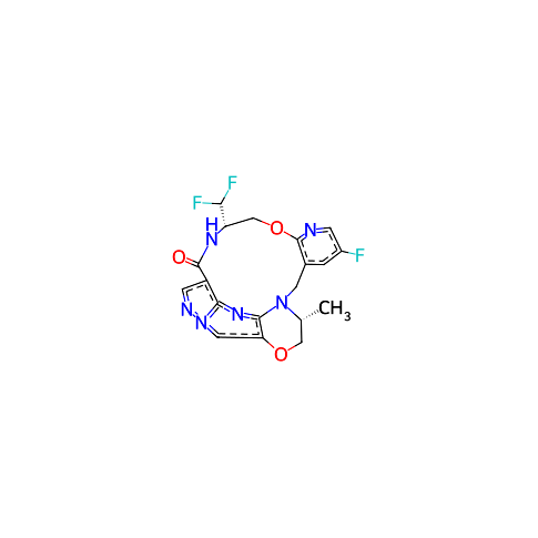 C[C@@H]1COc2cn3ncc4c3nc2N1Cc1cc(F)cnc1OC[C@@H](C(F)F)NC4=O